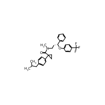 CC(C)Cc1ccc(C2(C(=O)N(C)CC[C@@H](Oc3ccc(C(F)(F)F)cc3)c3ccccc3)CC2)cc1